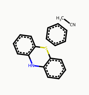 CC#N.c1ccc2c(c1)Nc1ccccc1S2.c1ccccc1